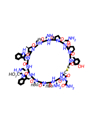 CCCC[C@H]1C(=O)N(C)[C@@H](CCCC)C(=O)N[C@@H](CN)C(=O)N[C@H](C(=O)NCC(N)=O)CSCC(=O)N[C@@H](Cc2ccc(O)cc2)C(=O)N2CCCC[C@H]2C(=O)N[C@@H](CC(N)=O)C(=O)N2CCC[C@H]2C(=O)N[C@@H](CN)C(=O)N[C@@H](CC(C)C)C(=O)N2C[C@H](C)C[C@H]2C(=O)N[C@@H](Cc2c[nH]c3ccccc23)C(=O)N[C@@H](CCN)C(=O)N[C@@H](Cc2cn(CC(=O)O)c3ccccc23)C(=O)N1C